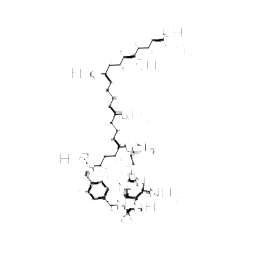 CC(C)=CCC/C(C)=C/CC/C(C)=C/CC/C=C(\C)CC/C=C(\C)CCCN(C)Cc1ccc(Cn2c(=O)[nH]c3c(N)nc(OCCO)nc32)cc1